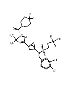 CC(F)(F)CCS(=O)(=O)N(Cc1ccc(Cl)c(Cl)c1)C12CC(C3=NC(C)(C)[C@H](C(=O)N4CCC(F)(F)CC4)N3)(C1)C2